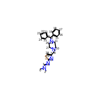 CN(C)C=Nc1nc(CN2CCN(C(c3ccccc3)c3ccccc3)CC2)cs1